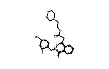 O=C(Cc1nn(Cc2ccc(Br)cc2F)c(=O)c2ccccc12)OCCN1CCOCC1